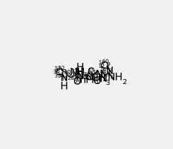 CCCOc1nc2c(N)nc3ccccc3c2n1CC(C)(C)OCCNC(=O)C(N)Cc1cc2ccccc2[nH]1